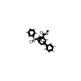 C=NC(=O)C12CC3CC(c4ccccc4)(CC1C3N(Cl)c1ccccc1)C2